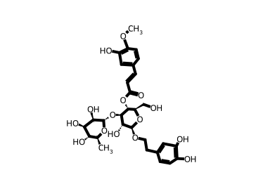 COc1ccc(/C=C/C(=O)O[C@H]2[C@H](O[C@@H]3O[C@@H](C)[C@H](O)[C@@H](O)[C@H]3O)[C@@H](O)[C@H](OCCc3ccc(O)c(O)c3)O[C@@H]2CO)cc1O